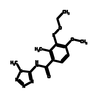 CCOSc1c(OC)ccc(C(=O)Nc2nnnn2C)c1C